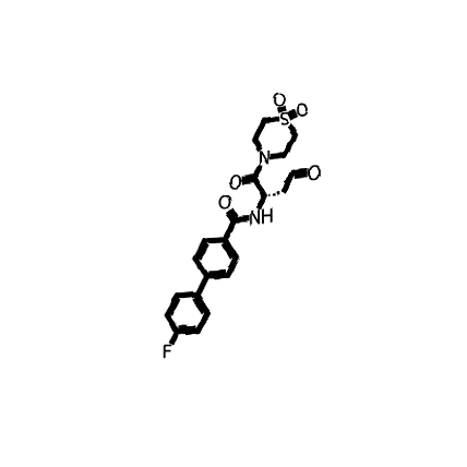 O=CC[C@H](NC(=O)c1ccc(-c2ccc(F)cc2)cc1)C(=O)N1CCS(=O)(=O)CC1